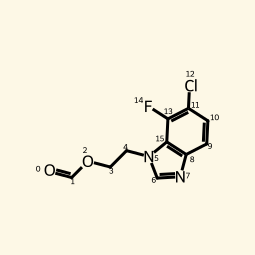 O=COCCn1cnc2ccc(Cl)c(F)c21